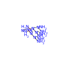 CN(C)CCCN(CCCN(CCCN(CN)CCCN)CCCN(CCN)CCCN)CCCN(CCCN(CCCN)CCCN)CCN(CCCN)CCCN